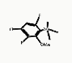 COc1c(F)c(Cl)cc(F)[c]1[Sn]([CH3])([CH3])[CH3]